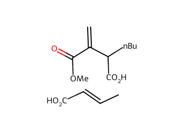 C=C(C(=O)OC)C(CCCC)C(=O)O.CC=CC(=O)O